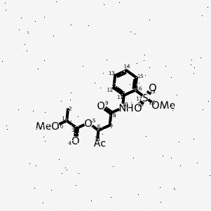 COC(C)C(=O)OC(CC(=O)Nc1ccccc1S(=O)(=O)OC)C(C)=O